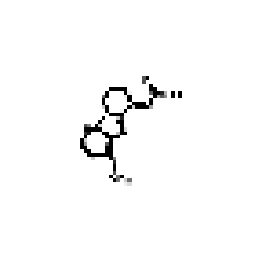 CSc1ccnc2c1cc1n2CCCC1=CC(=O)O